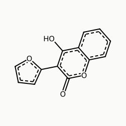 O=c1oc2ccccc2c(O)c1-c1ccco1